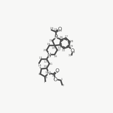 CCOC(=O)N1C(C)CCC1CC(CC)N1CCC2(CC1)CN(C(C)=O)c1ccc(OC)cc12